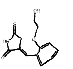 O=C1NC(=O)C(=Cc2ccccc2OCCO)S1